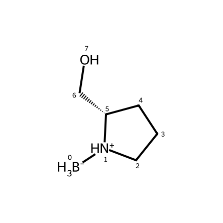 [BH3-][NH+]1CCC[C@H]1CO